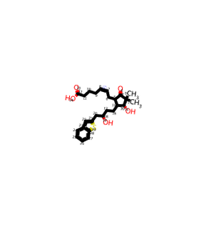 CC1(C)C(=O)C(C/C=C\CCCC(=O)O)C(CCC(O)Cc2cc3ccccc3s2)C1O